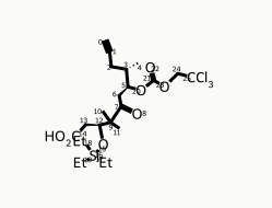 C#CC[C@H](C)[C@H](CC(=O)C(C)(C)[C@H](CC(=O)O)O[Si](CC)(CC)CC)OC(=O)OCC(Cl)(Cl)Cl